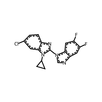 Fc1cc2ncn(-c3nc4ccc(Cl)cc4n3C3CC3)c2cc1F